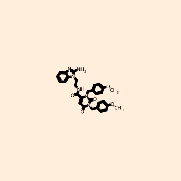 COc1ccc(Cn2c(C(=O)NCCn3c(N)nc4ccccc43)cc(=O)n(Cc3ccc(OC)cc3)c2=O)cc1